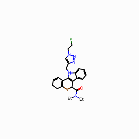 CCN(CC)C(=O)C1SC2=C(C=CCC2)c2c1c1ccccc1n2Cc1cn(CCF)nn1